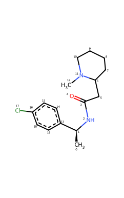 C[C@H](NC(=O)CC1CCCCN1C)c1ccc(Cl)cc1